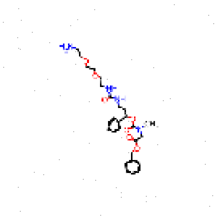 CN(CC(=O)OCc1ccccc1)C(=O)OC(CCNC(=O)NCCOCCOCCN)c1ccccc1